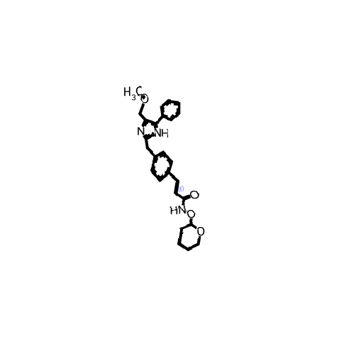 COCc1nc(Cc2ccc(/C=C/C(=O)NOC3CCCCO3)cc2)[nH]c1-c1ccccc1